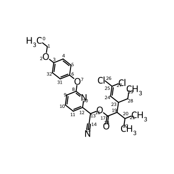 CCOc1ccc(Oc2cccc(C(C#N)OC(=O)C(C(C)C)C(C=C(Cl)Cl)CC)n2)cc1